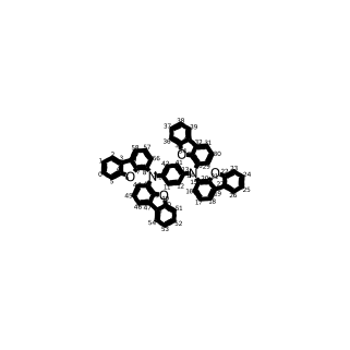 c1ccc2c(c1)oc1c(N(c3ccc(N(c4cccc5c4oc4ccccc45)c4cccc5c4oc4ccccc45)cc3)c3cccc4c3oc3ccccc34)cccc12